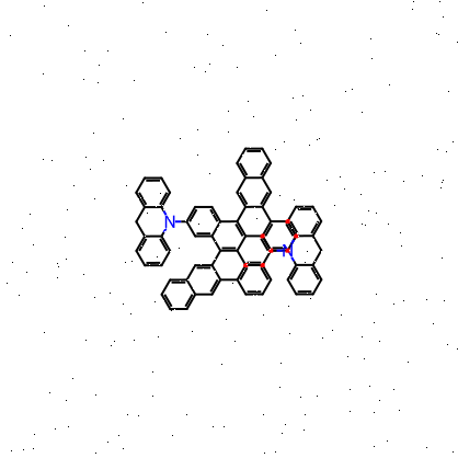 c1ccc(-c2cc3ccccc3cc2-c2c3ccc(N4c5ccccc5Cc5ccccc54)cc3c(-c3cc4ccccc4cc3-c3ccccc3)c3ccc(N4c5ccccc5Cc5ccccc54)cc23)cc1